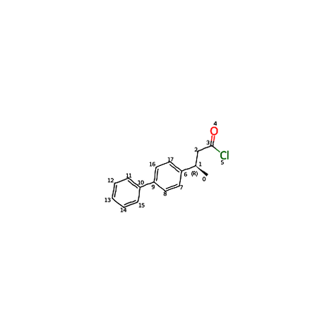 C[C@H](CC(=O)Cl)c1ccc(-c2ccccc2)cc1